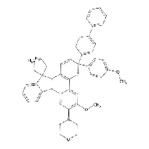 CCC1(CC)c2ccccc2-c2c1c1c(c3cc(OC)c(N4CCOCC4)cc23)OC(C2=CC=C(c3ccccc3)CC2)(c2ccc(OC)cc2)C=C1